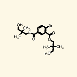 CC(C)(CO)COC(=O)c1ccc(Br)c(C(=O)OCC(C)(C)CO)c1